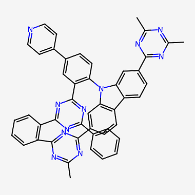 Cc1nc(C)nc(-c2ccc3c4ccc(-c5nc(C)nc(C)n5)cc4n(-c4ccc(-c5ccncc5)cc4-c4nc(-c5ccccc5)nc(-c5ccccc5)n4)c3c2)n1